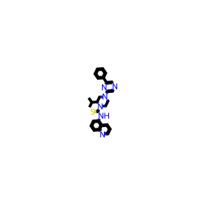 CC(C)C1CN(c2cncc(-c3ccccc3)n2)CCN1C(=S)Nc1cccc2ncccc12